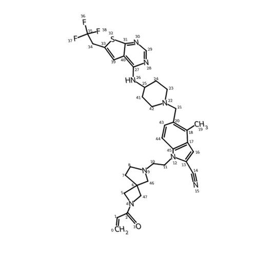 C=CC(=O)N1CC2(CCN(CCn3c(C#N)cc4c(C)c(CN5CCC(Nc6ncnc7sc(CC(F)(F)F)cc67)CC5)ccc43)C2)C1